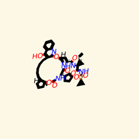 C=C[C@@H]1C[C@]1(NC(=O)[C@@H]1C[C@@H]2CN1C(=O)[C@H](C1CCCC1)NC(=O)O[C@]1(C)CCC[C@H]1CCCCCc1c(nc3ccccc3c1O)O2)C(=O)NS(=O)(=O)C1CC1